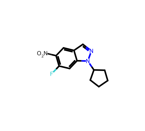 O=[N+]([O-])c1cc2cnn(C3CCCC3)c2cc1F